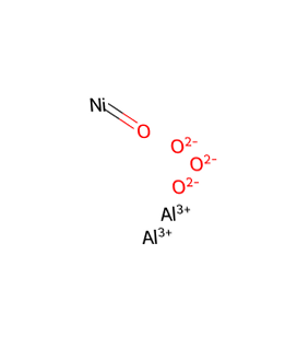 [Al+3].[Al+3].[O-2].[O-2].[O-2].[O]=[Ni]